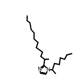 CCCCCCCCCCC(C)c1nccn1C(C)CCCCCC